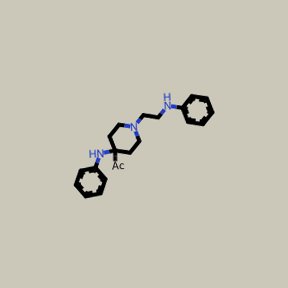 CC(=O)C1(Nc2ccccc2)CCN(CCNc2ccccc2)CC1